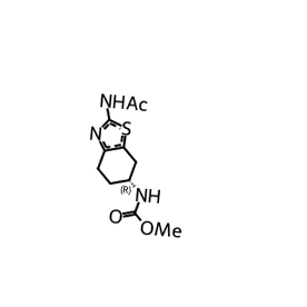 COC(=O)N[C@@H]1CCc2nc(NC(C)=O)sc2C1